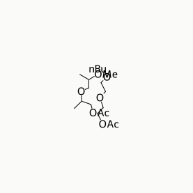 CCCCOCCOCCOC(C)=O.COC(C)COC(C)COC(C)=O